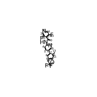 C=C(Nc1ccc(-c2cc3c(cc2C)OC(F)(F)C3)cn1)c1c(F)cncc1F